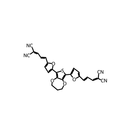 N#CC(C#N)=C/C=C/c1ccc(-c2sc(-c3ccc(/C=C/C=C(C#N)C#N)o3)c3c2OCCCO3)o1